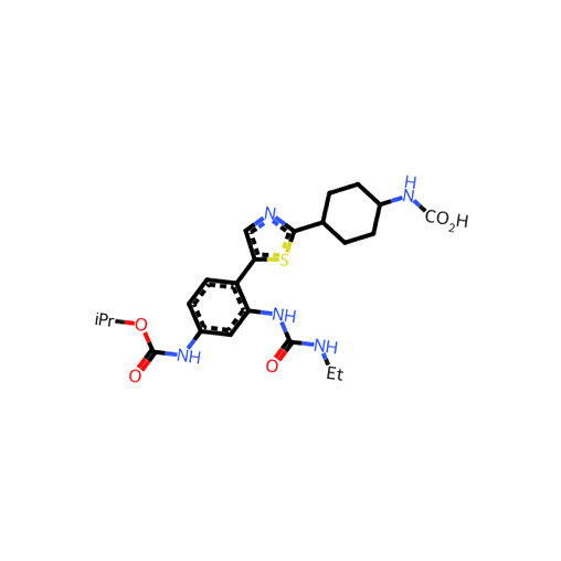 CCNC(=O)Nc1cc(NC(=O)OC(C)C)ccc1-c1cnc(C2CCC(NC(=O)O)CC2)s1